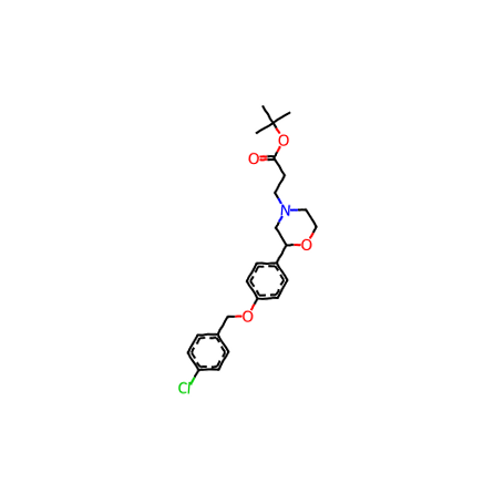 CC(C)(C)OC(=O)CCN1CCOC(c2ccc(OCc3ccc(Cl)cc3)cc2)C1